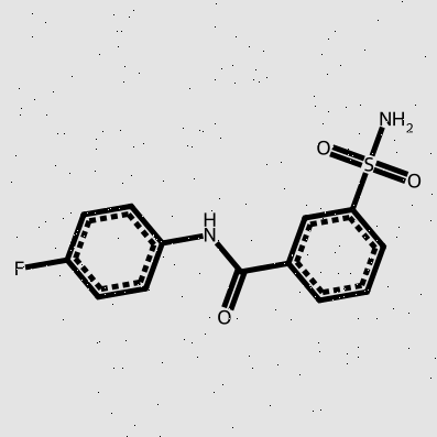 NS(=O)(=O)c1cccc(C(=O)Nc2ccc(F)cc2)c1